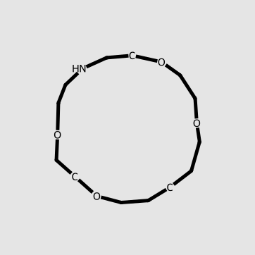 C1CCOCCOCCNCCOCCOCC1